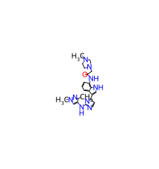 Cc1nn(C)cc1Nc1nccc(-c2c[nH]c3c(NC(=O)CN4CCN(C)CC4)cccc23)n1